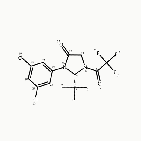 CC(C)(C)[C@H]1N(C(=O)C(F)(F)F)CC(=O)N1c1cc(Cl)cc(Cl)c1